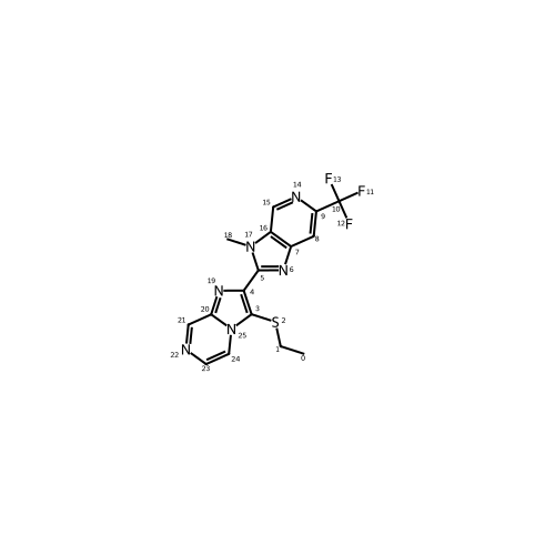 CCSc1c(-c2nc3cc(C(F)(F)F)ncc3n2C)nc2cnccn12